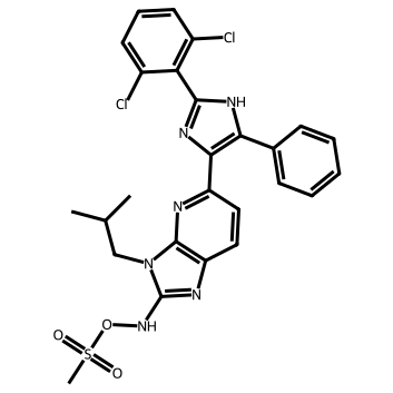 CC(C)Cn1c(NOS(C)(=O)=O)nc2ccc(-c3nc(-c4c(Cl)cccc4Cl)[nH]c3-c3ccccc3)nc21